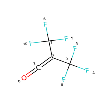 O=C=C(C(F)(F)F)C(F)(F)F